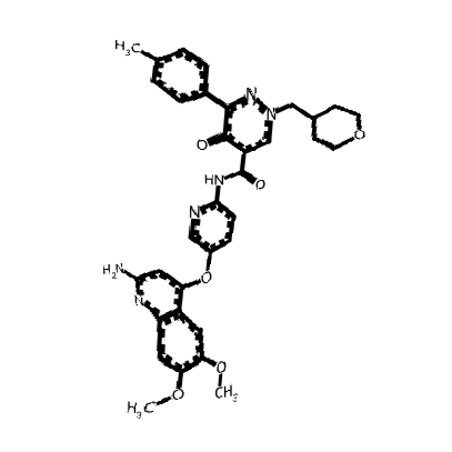 COc1cc2nc(N)cc(Oc3ccc(NC(=O)c4cn(CC5CCOCC5)nc(-c5ccc(C)cc5)c4=O)nc3)c2cc1OC